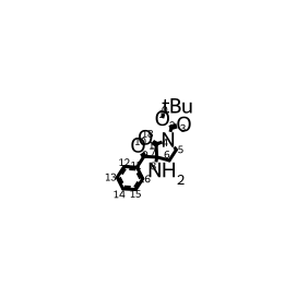 CC(C)(C)OC(=O)N1CCC(N)(C(=O)c2ccccc2)C1=O